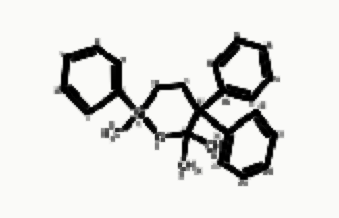 CC1(C)O[Si](C)(c2ccccc2)CCC1(c1ccccc1)c1ccccc1